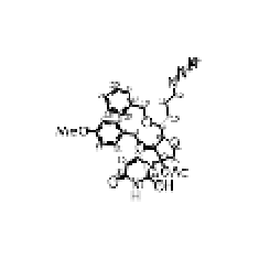 COc1ccc(COC2[C@@H]([C@@H](CCCN=[N+]=[N-])OCc3ccccc3)OCC2(OC(C)=O)N2C=CC(=O)NC2O)cc1